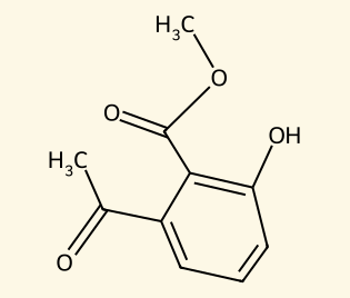 COC(=O)c1c(O)cccc1C(C)=O